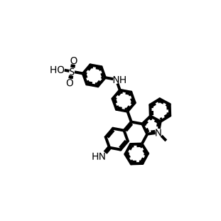 Cn1c(-c2ccccc2)c(C(=C2C=CC(=N)C=C2)c2ccc(Nc3ccc(S(=O)(=O)O)cc3)cc2)c2ccccc21